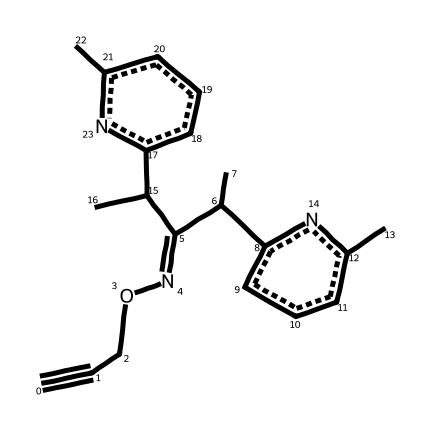 C#CCON=C(C(C)c1cccc(C)n1)C(C)c1cccc(C)n1